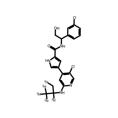 [2H]CC([2H])(Nc1cc(-c2c[nH]c(C(=O)NC(CO)c3cccc(Cl)c3)c2)c(Cl)cn1)C([2H])([2H])[2H]